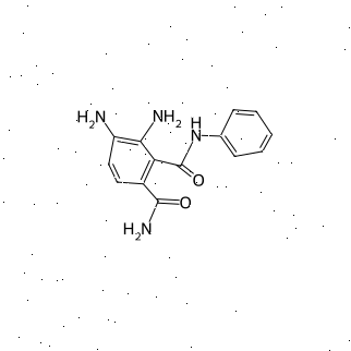 NC(=O)c1ccc(N)c(N)c1C(=O)Nc1ccccc1